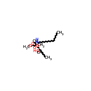 C=C(CCCCCCCCC/C=C\CCCCCC)N[C@@H]1[C@@H](OCC[C@@H](CCCCCCC)OC)[C@H](O)[C@@H](COC)O[C@@H]1C